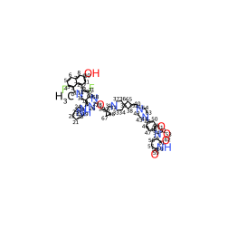 CCc1c(F)ccc2cc(O)cc(-c3ncc4c(N5CC6CCC(C5)N6)nc(OCC5(CN6CCC7(CC6)CC(CN6CCN(c8ccc9c(c8)oc(=O)n9C8CCC(=O)NC8=O)CC6)C7)CC5)nc4c3F)c12